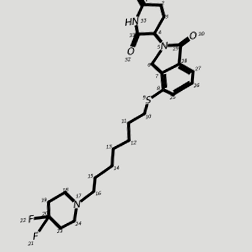 O=C1CCC(N2Cc3c(SCCCCCCCN4CCC(F)(F)CC4)cccc3C2=O)C(=O)N1